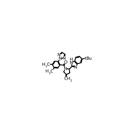 C=C1CC(c2nc3cc(C(C)(C)C)ccc3[nH]2)N(C(=O)c2cc(C)c(C)cc2-n2nccn2)C1